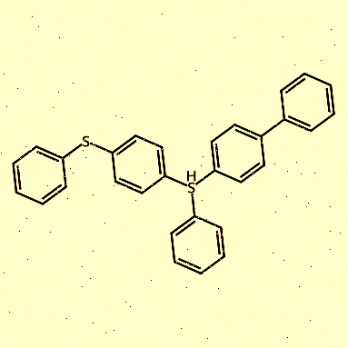 c1ccc(Sc2ccc([SH](c3ccccc3)c3ccc(-c4ccccc4)cc3)cc2)cc1